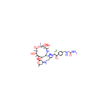 CO[C@H](c1ccc(CNCC(N)=O)cc1)[C@@H](CF)n1cc(CCN(C)[C@@H]2C[C@H](O[C@@H]3[C@@H](C)[C@H](O)[C@@H](C)C(=O)O[C@H](I)[C@@](C)(O)[C@H](O)[C@@H](C)N(C)C[C@H](C)C[C@@]3(C)O)O[C@H](C)C2)nn1